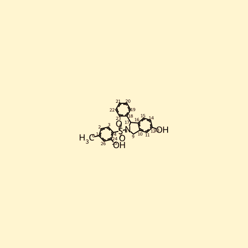 Cc1ccc(S(=O)(=O)N2Cc3cc(O)ccc3C2c2ccccc2)c(O)c1